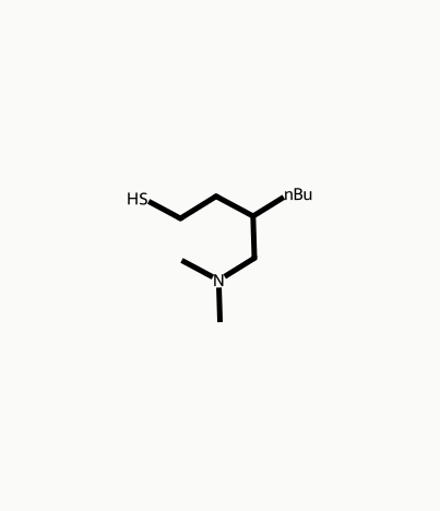 CCCCC(CCS)CN(C)C